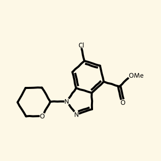 COC(=O)c1cc(Cl)cc2c1cnn2C1CCCCO1